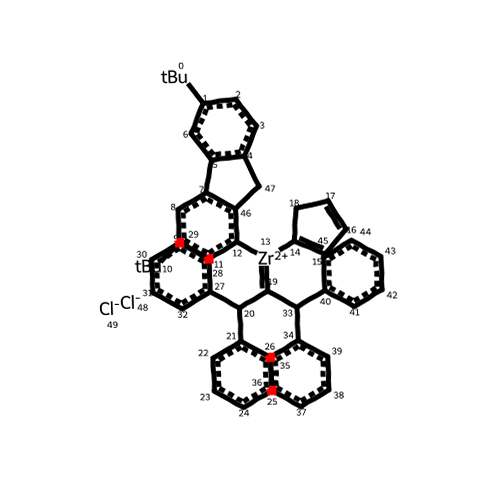 CC(C)(C)c1ccc2c(c1)-c1cc(C(C)(C)C)c[c]([Zr+2]([C]3=CC=CC3)=[C](C(c3ccccc3)c3ccccc3)C(c3ccccc3)c3ccccc3)c1C2.[Cl-].[Cl-]